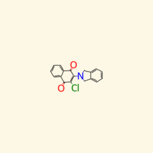 O=C1C(Cl)=C(N2Cc3ccccc3C2)C(=O)c2ccccc21